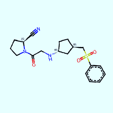 N#C[C@@H]1CCCN1C(=O)CN[C@@H]1CC[C@@H](CS(=O)(=O)c2ccccc2)C1